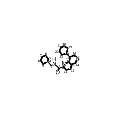 O=C(NCc1ccccc1)c1ccc2cncc(-c3ccccc3)c2n1